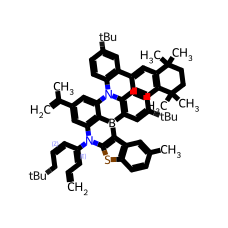 C=C/C=C(\C=C/CC(C)(C)C)N1c2cc(C(=C)C)cc3c2B(c2cc(C(C)(C)C)ccc2N3c2ccc(C(C)(C)C)cc2-c2ccc3c(c2)C(C)(C)CCC3(C)C)c2c1sc1ccc(C)cc21